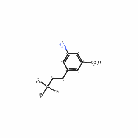 CC(C)[Si](CCc1cc(N)cc(C(=O)O)c1)(C(C)C)C(C)C